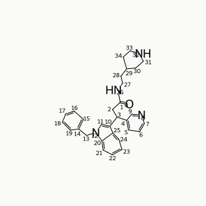 O=C(CC(c1cccnc1)c1cn(Cc2ccccc2)c2ccccc12)NCCC1CCNCC1